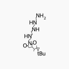 CC(C1CC(=O)N(CCNCCNCCNCCN)C1=O)C1(C)CC1C(C)(C)C